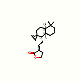 CC1(C)CCC[C@@]2(C)[C@H]1CCC1(CC1)[C@@H]2C/C=C1\CCOC1=O